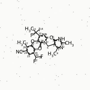 Cc1nc(C)c(Cn2cnc(C(C)(F)I)c(Oc3cc(C(F)F)cc(C#N)c3C)c2=O)c(=O)[nH]1